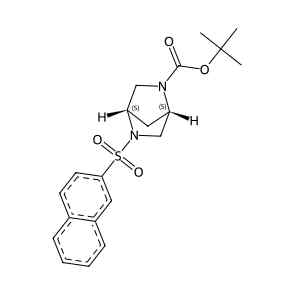 CC(C)(C)OC(=O)N1C[C@@H]2C[C@H]1CN2S(=O)(=O)c1ccc2ccccc2c1